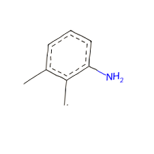 [CH2]c1c(C)cccc1N